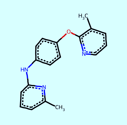 Cc1cccc(Nc2ccc(Oc3ncccc3C)cc2)n1